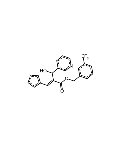 O=C(OCc1cccc(C(F)(F)F)c1)C(=Cc1ccsc1)C(O)c1cccnc1